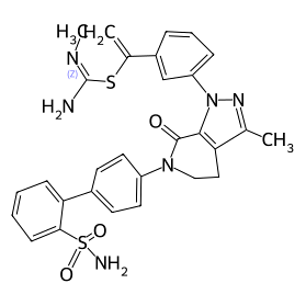 C=C(S/C(N)=N\C)c1cccc(-n2nc(C)c3c2C(=O)N(c2ccc(-c4ccccc4S(N)(=O)=O)cc2)CC3)c1